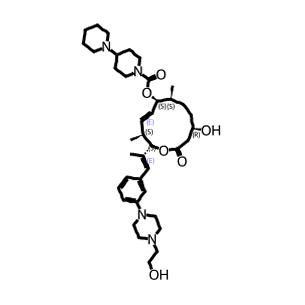 C/C(=C\c1cccc(N2CCN(CCO)CC2)c1)[C@H]1OC(=O)C[C@H](O)CC[C@H](C)[C@H](OC(=O)N2CCC(N3CCCCC3)CC2)/C=C/[C@@H]1C